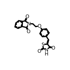 O=C1NC(=O)C(=Cc2ccc(OCCN3C(=O)c4ccccc4C3=O)cc2)S1